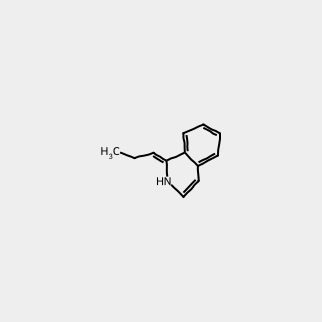 CCC=C1NC=Cc2ccccc21